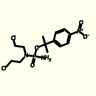 CC(C)(OP(N)(=O)N(CCCl)CCCl)c1ccc([N+](=O)[O-])cc1